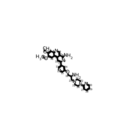 COc1cc2ncc3c(N)nc(-c4cncc(OC[C@@H](N)CN5CCN(c6ccccn6)CC5)c4)cc3c2cc1OC